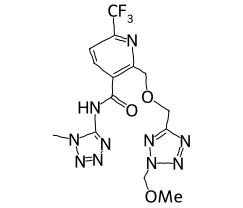 COCn1nnc(COCc2nc(C(F)(F)F)ccc2C(=O)Nc2nnnn2C)n1